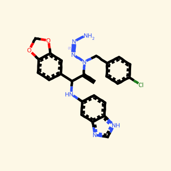 C=C(C(Nc1ccc2[nH]cnc2c1)c1ccc2c(c1)OCO2)N(Cc1ccc(Cl)cc1)/N=N\N